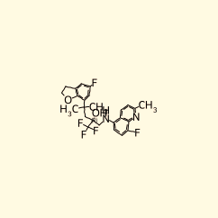 Cc1ccc2c(NC[C@](O)(CC(C)(C)c3cc(F)cc4c3OCC4)C(F)(F)F)ccc(F)c2n1